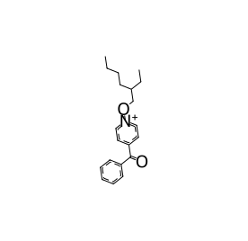 CCCCC(CC)CO[n+]1ccc(C(=O)c2ccccc2)cc1